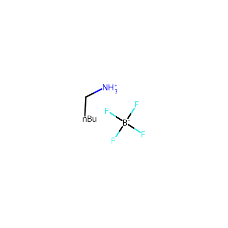 CCCCC[NH3+].F[B-](F)(F)F